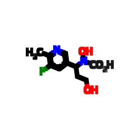 Cc1ncc(C(CCO)N(O)C(=O)O)cc1F